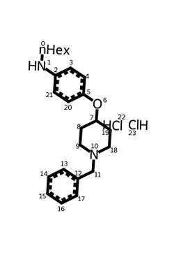 CCCCCCNc1ccc(OC2CCN(Cc3ccccc3)CC2)cc1.Cl.Cl